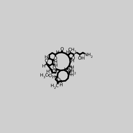 C=C1C[C@@H]2CC3[C@@H]4C[C@H](CC[C@@H]1O2)O[C@H](C[C@@H]1O[C@H](C[C@H](O)CN)[C@H](C)[C@H]1CC(=O)C[C@H]1CC[C@@H]2O[C@@H]5C[C@@H](O[C@]36C[C@@H](OC)[C@@H]5O6)[C@H]2O1)C4=C